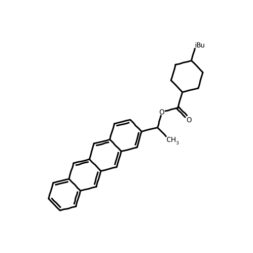 CCC(C)C1CCC(C(=O)OC(C)c2ccc3cc4cc5ccccc5cc4cc3c2)CC1